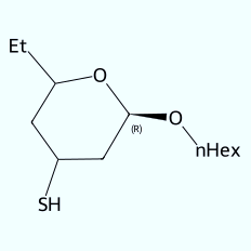 CCCCCCO[C@H]1CC(S)CC(CC)O1